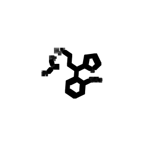 CC(C)NC(C)C.COc1ccccc1C(CCN)c1cccs1